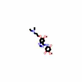 CCN(CC)CCCOc1cc2ncnc(NC3=CC(=O)C(OC)=CC3=O)c2cc1OC